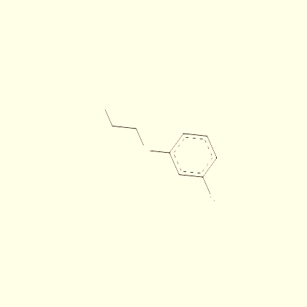 CCOC(=O)CCOc1cc[c]c([N+](=O)[O-])c1